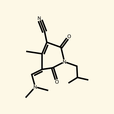 CC1=C(C#N)C(=O)N(CC(C)C)C(=O)C1=CN(C)C